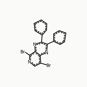 Brc1cnc(Br)c2nc(-c3ccccc3)c(-c3ccccc3)nc12